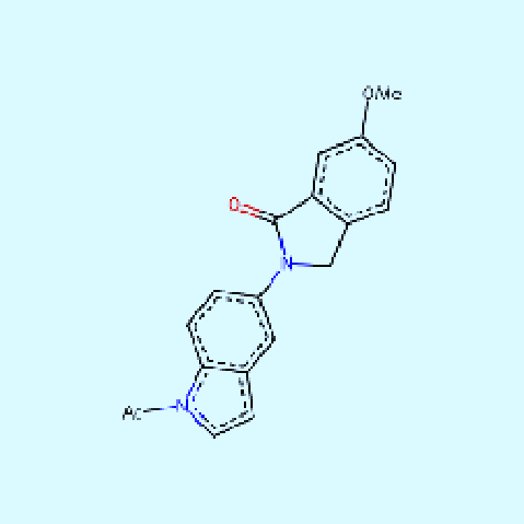 COc1ccc2c(c1)C(=O)N(c1ccc3c(ccn3C(C)=O)c1)C2